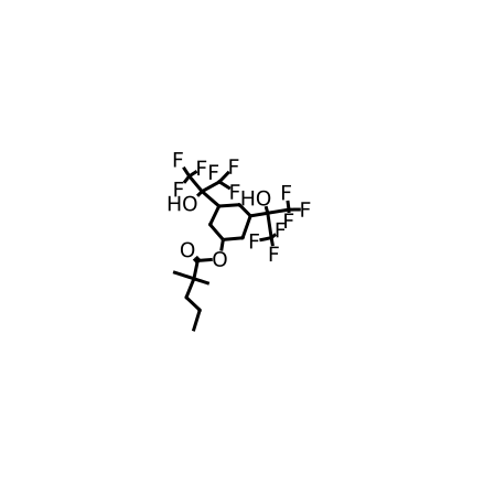 CCCC(C)(C)C(=O)OC1CC(C(O)(C(F)(F)F)C(F)(F)F)CC(C(O)(C(F)(F)F)C(F)(F)F)C1